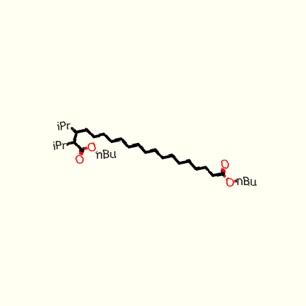 CCCCOC(=O)CCCCCCCCCCCCCCCCC(C(C)C)C(C(=O)OCCCC)C(C)C